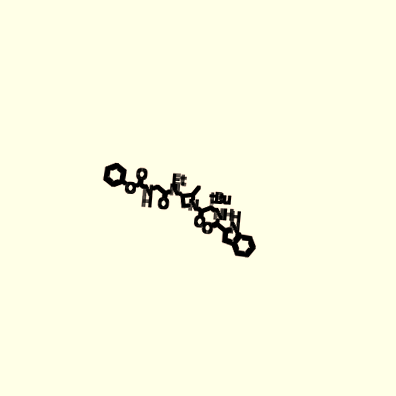 CCN(C(=O)CNC(=O)Oc1ccccc1)[C@@H]1CN(C(=O)[C@@H](NC(=O)c2cc3ccccc3[nH]2)C(C)(C)C)C1C